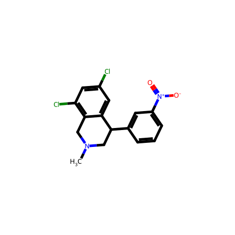 CN1Cc2c(Cl)cc(Cl)cc2C(c2cccc([N+](=O)[O-])c2)C1